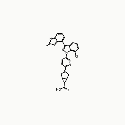 Cn1cc2c(-c3nn(-c4ccc(N5CC6C(C5)C6C(=O)O)nc4)c4c(Cl)cccc34)cccc2n1